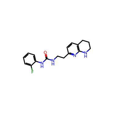 O=C(NCCc1ccc2c(n1)NCCC2)Nc1ccccc1F